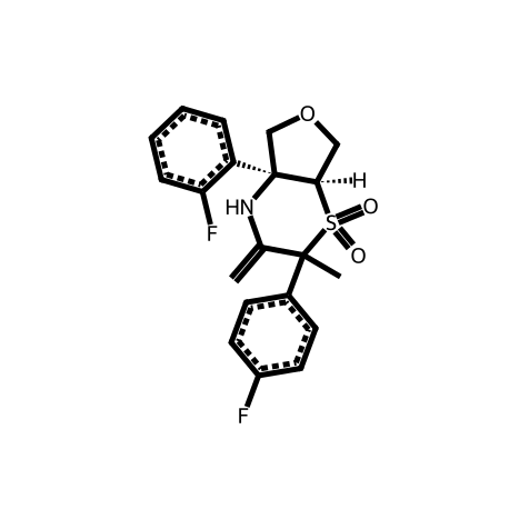 C=C1N[C@@]2(c3ccccc3F)COC[C@H]2S(=O)(=O)C1(C)c1ccc(F)cc1